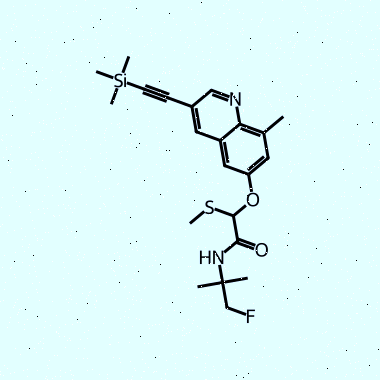 CSC(Oc1cc(C)c2ncc(C#C[Si](C)(C)C)cc2c1)C(=O)NC(C)(C)CF